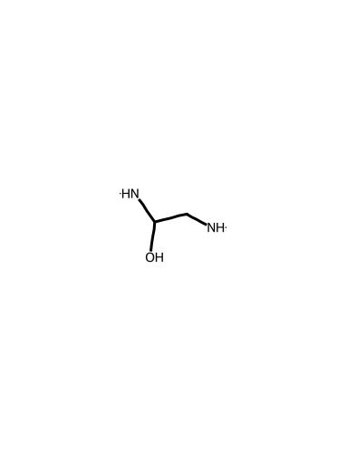 [NH]CC([NH])O